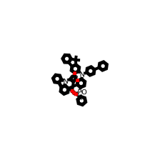 CC1(C)c2ccccc2-c2ccc(N(c3ccc(-c4ccccc4)cc3)c3ccc4c(c3)C3(c5ccccc5-n5c6ccccc6c6cccc3c65)c3ccccc3P4(=O)c3ccccc3)cc21